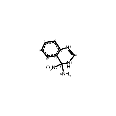 NC1([N+](=O)[O-])NC=Nc2ccccc21